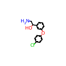 NCC(O)c1cccc(Oc2ccc(Cl)cc2)c1